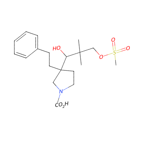 CC(C)(COS(C)(=O)=O)C(O)C1(CCc2ccccc2)CCN(C(=O)O)C1